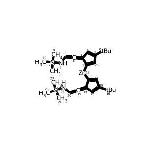 CC(C)(C)C1=CC(=C=CN[Si](C)(C)C)[C]([Zr][C]2=CC(C(C)(C)C)=CC2=C=CN[Si](C)(C)C)=C1